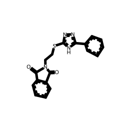 O=C1c2ccccc2C(=O)N1CCSc1nnc(-c2ccccc2)[nH]1